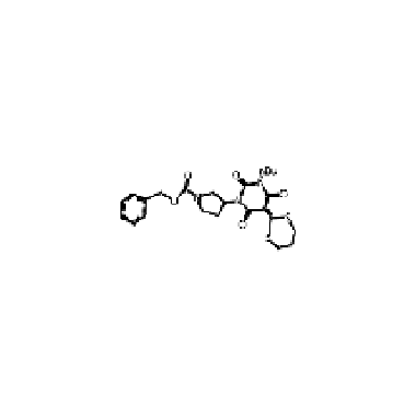 CCCCN1C(=O)C(=C2SCCCS2)C(=O)N(C2CCN(C(=O)OCc3ccccc3)C2)C1=O